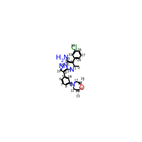 Cc1nc2c(-c3cccc(N4C[C@@H](C)O[C@@H](C)C4)c3)cnn2c(N)c1-c1cccc(Cl)c1